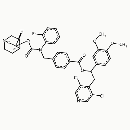 COc1ccc(C(Cc2c(Cl)cncc2Cl)OC(=O)c2ccc(CN(C(=O)O[C@H]3CN4CCC3CC4)c3ccccc3F)cc2)cc1OC